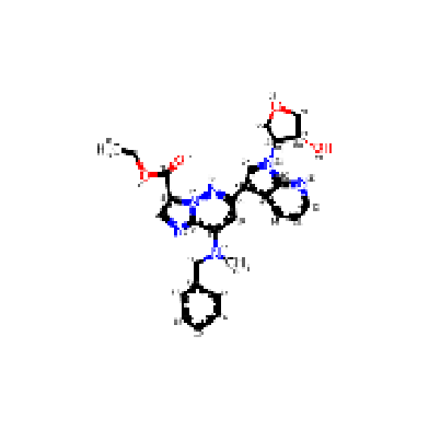 CCOC(=O)c1cnc2c(N(C)Cc3ccccc3)cc(-c3cn([C@H]4COC[C@@H]4O)c4ncccc34)nn12